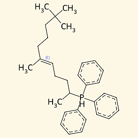 C/C(=C\CCC(C)[PH](c1ccccc1)(c1ccccc1)c1ccccc1)CCCC(C)(C)C